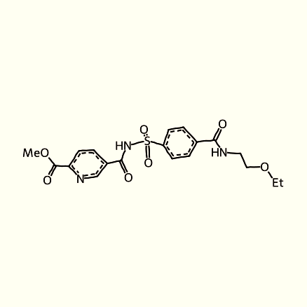 CCOCCNC(=O)c1ccc(S(=O)(=O)NC(=O)c2ccc(C(=O)OC)nc2)cc1